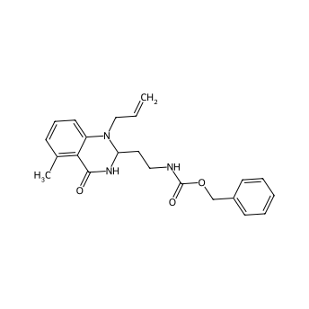 C=CCN1c2cccc(C)c2C(=O)NC1CCNC(=O)OCc1ccccc1